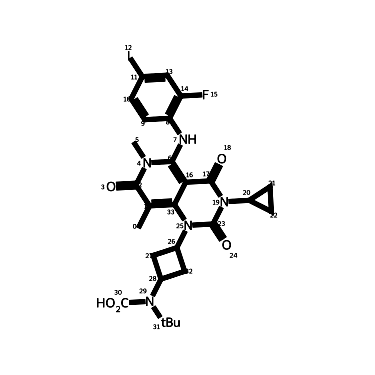 Cc1c(=O)n(C)c(Nc2ccc(I)cc2F)c2c(=O)n(C3CC3)c(=O)n(C3CC(N(C(=O)O)C(C)(C)C)C3)c12